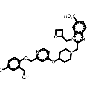 O=C(O)c1ccc2nc(CN3CCC(Oc4ccnc(COc5ccc(Cl)cc5CO)c4)CC3)n(CC3CCO3)c2c1